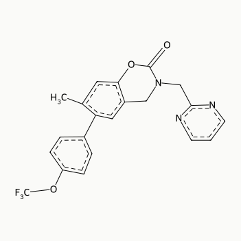 Cc1cc2c(cc1-c1ccc(OC(F)(F)F)cc1)CN(Cc1ncccn1)C(=O)O2